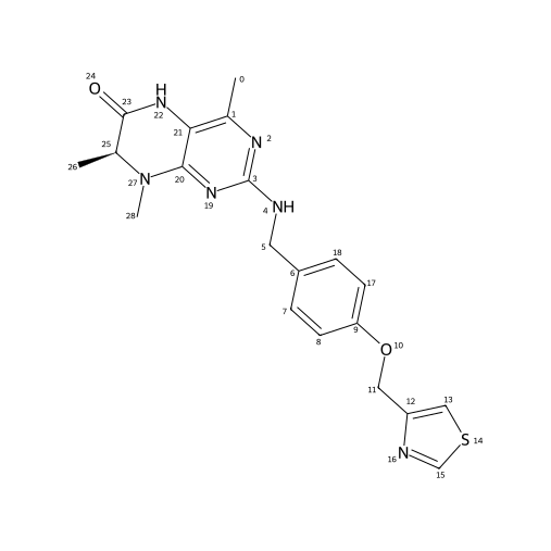 Cc1nc(NCc2ccc(OCc3cscn3)cc2)nc2c1NC(=O)[C@H](C)N2C